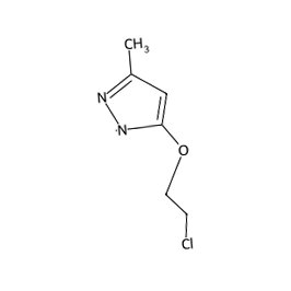 CC1=N[N]C(OCCCl)=C1